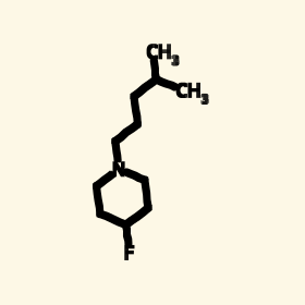 CC(C)CCCN1CCC(F)CC1